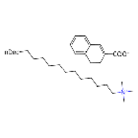 CCCCCCCCCCCCCCCCCCCCCC[N+](C)(C)C.O=C([O-])C1=Cc2ccccc2CC1